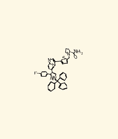 NC(=O)[C@@H]1CCCN1Cc1ccc(-c2cnc3ccc(-c4cn(C(c5ccccc5)(c5ccccc5)C5C=CC=CC5)nc4-c4ccc(F)cc4)cn23)s1